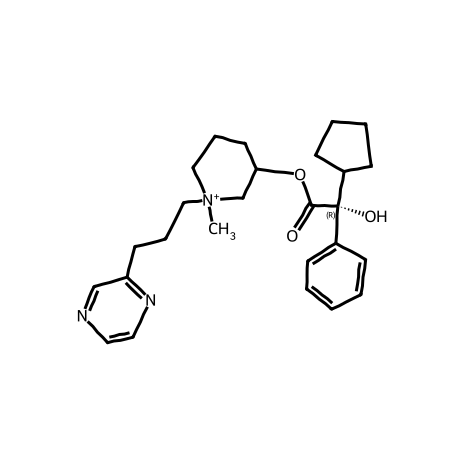 C[N+]1(CCCc2cnccn2)CCCC(OC(=O)[C@](O)(c2ccccc2)C2CCCC2)C1